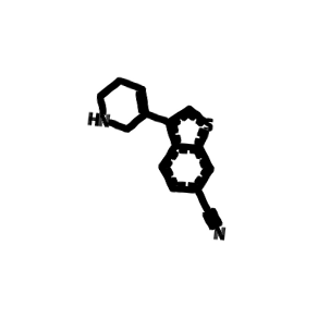 N#Cc1ccc2c(C3=CCCNC3)csc2c1